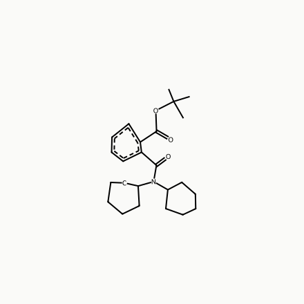 CC(C)(C)OC(=O)c1ccccc1C(=O)N(C1CCCCC1)C1CCCCC1